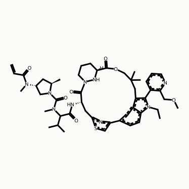 C=CC(=O)N(C)[C@@H]1C[C@@H](C)N(C(=O)N(C)C(C(=O)N[C@H]2Cc3nc(cs3)-c3ccc4c(c3)c(c(-c3cccnc3COC)n4CC)CC(C)(C)COC(=O)[C@@H]3CCCN(N3)C2=O)C(C)C)C1